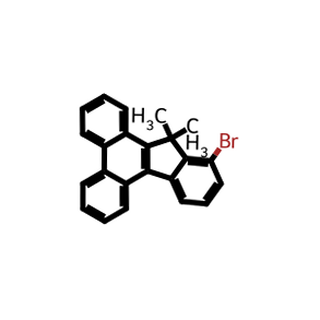 CC1(C)c2c(Br)cccc2-c2c1c1ccccc1c1ccccc21